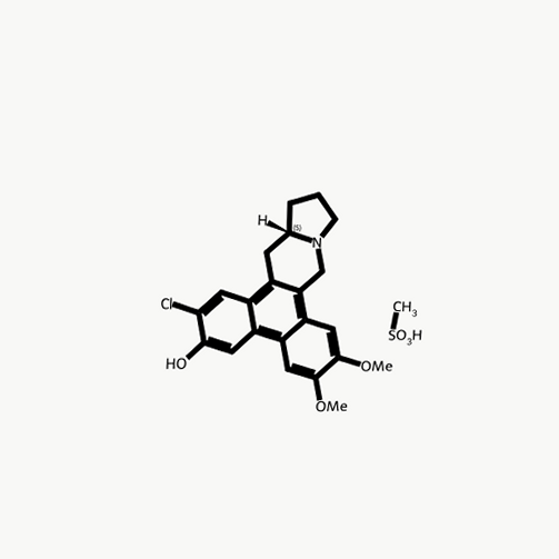 COc1cc2c3c(c4cc(Cl)c(O)cc4c2cc1OC)C[C@@H]1CCCN1C3.CS(=O)(=O)O